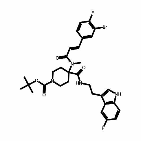 CN(C(=O)/C=C/c1ccc(F)c(Br)c1)C1(C(=O)NCCc2c[nH]c3ccc(F)cc23)CCN(C(=O)OC(C)(C)C)CC1